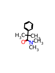 CN(C)C(=O)C(C)(C)c1ccccc1